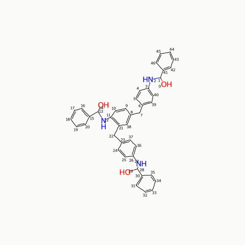 OC(Nc1ccc(Cc2ccc(NC(O)c3ccccc3)c(Cc3ccc(NC(O)c4ccccc4)cc3)c2)cc1)c1ccccc1